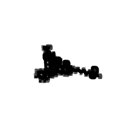 CC(=O)OCCCCCCCN1CCc2cc(N3CCN(c4ccccc4C)CC3)c(NC(=O)c3coc(C4CC4)n3)cc2C1=O